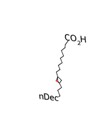 CCCCCCCCCCCCCC12CC(CCCCCCCCCCC(=O)O)(C1)C2